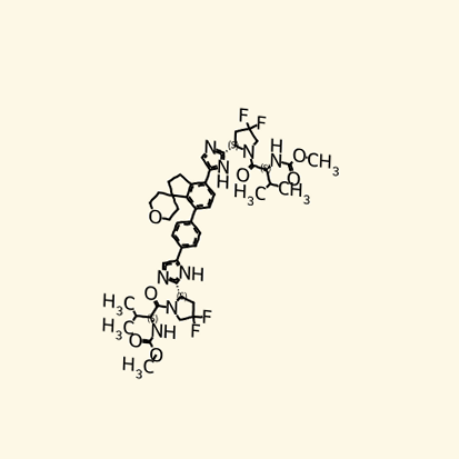 COC(=O)N[C@H](C(=O)N1CC(F)(F)C[C@H]1c1ncc(-c2ccc(-c3ccc(-c4cnc([C@@H]5CC(F)(F)CN5C(=O)[C@@H](NC(=O)OC)C(C)C)[nH]4)c4c3C3(CCOCC3)CC4)cc2)[nH]1)C(C)C